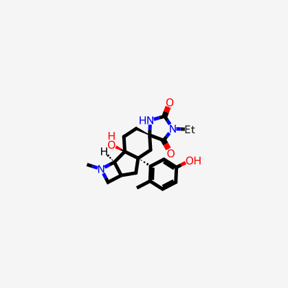 CCN1C(=O)N[C@]2(CC[C@@]3(O)[C@H]4C(CN4C)C[C@]3(c3cc(O)ccc3C)C2)C1=O